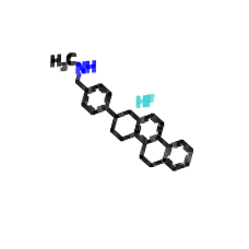 CNCc1ccc(C2CCc3c(ccc4c3CCc3ccccc3-4)C2)cc1.F